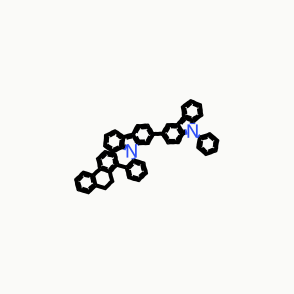 c1ccc(-n2c3ccccc3c3cc(-c4ccc5c6ccccc6n(-c6ccccc6-c6cccc7c6CCc6ccccc6-7)c5c4)ccc32)cc1